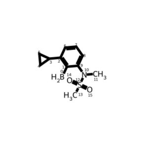 Bc1c(C2CC2)cccc1N(C)S(C)(=O)=O